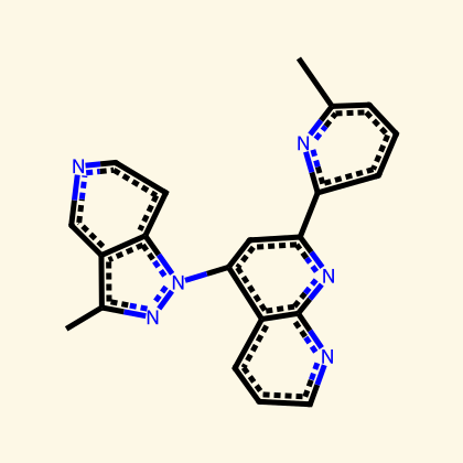 Cc1cccc(-c2cc(-n3nc(C)c4cnccc43)c3cccnc3n2)n1